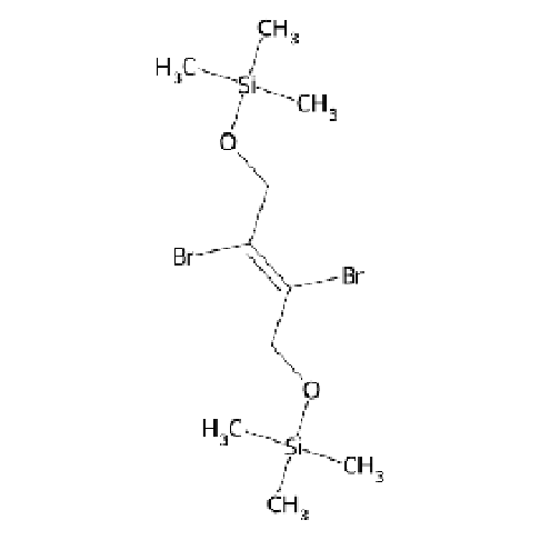 C[Si](C)(C)OC/C(Br)=C(\Br)CO[Si](C)(C)C